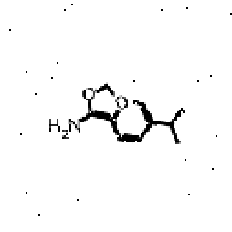 C/C=C(\C=C/C1=C(N)OCO1)C(C)C